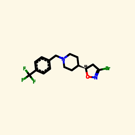 FC(F)(F)c1ccc(CN2CCC([C@@H]3CC(Br)=NO3)CC2)cc1